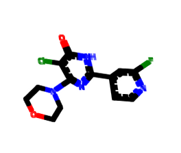 O=c1[nH]c(-c2ccnc(F)c2)nc(N2CCOCC2)c1Cl